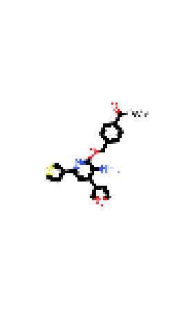 COC(=O)c1ccc(COc2nc(-c3ccsc3)cc(-c3ccoc3)c2N)cc1